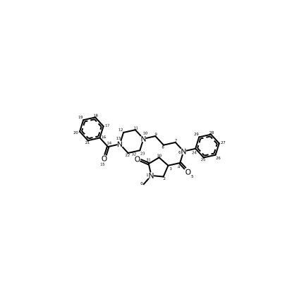 CN1CC(C(=O)N(CCCN2CCN(C(=O)c3ccccc3)CC2)c2ccccc2)CC1=O